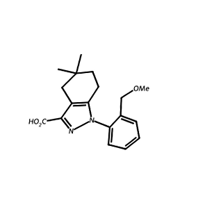 COCc1ccccc1-n1nc(C(=O)O)c2c1CCC(C)(C)C2